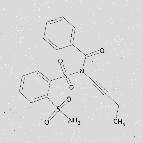 CCC#CN(C(=O)c1ccccc1)S(=O)(=O)c1ccccc1S(N)(=O)=O